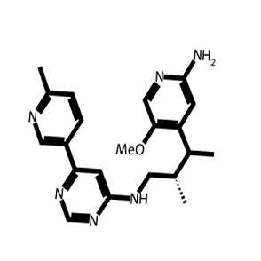 COc1cnc(N)cc1C(C)[C@H](C)CNc1cc(-c2ccc(C)nc2)ncn1